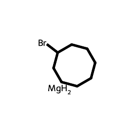 BrC1CCCCCCC1.[MgH2]